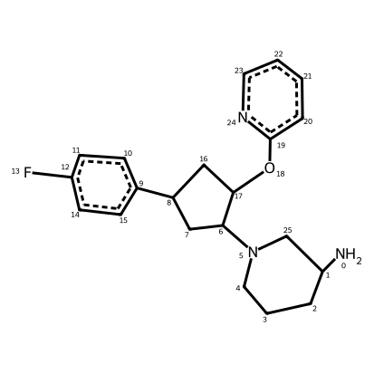 NC1CCCN(C2CC(c3ccc(F)cc3)CC2Oc2ccccn2)C1